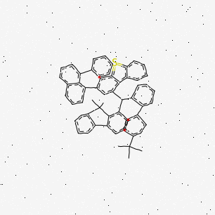 CC(C)(C)c1ccc(-c2ccccc2C(c2cccc3c2C(C)(C)c2ccccc2-3)c2cc(-c3cccc4cccc(-c5ccccc5)c34)cc3sc4ccccc4c23)cc1